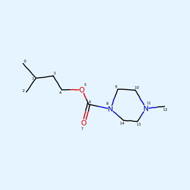 CC(C)CCOC(=O)N1CCN(C)CC1